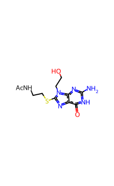 CC(=O)NCCSc1nc2c(=O)[nH]c(N)nc2n1CCO